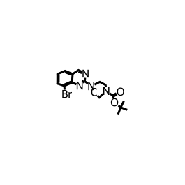 CC(C)(C)OC(=O)N1CCN(c2ncc3cccc(Br)c3n2)CC1